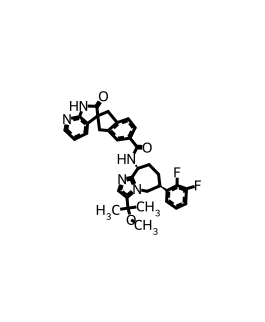 COC(C)(C)c1cnc2n1C[C@H](c1cccc(F)c1F)CC[C@H]2NC(=O)c1ccc2c(c1)CC1(C2)C(=O)Nc2ncccc21